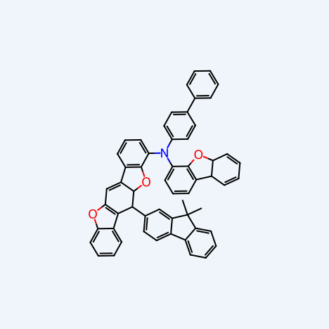 CC1(C)c2ccccc2-c2ccc(C3c4c(oc5ccccc45)C=C4c5cccc(N(c6ccc(-c7ccccc7)cc6)c6cccc7c6OC6C=CC=CC76)c5OC43)cc21